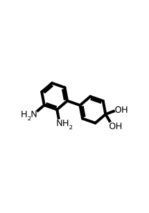 Nc1cccc(C2=CCC(O)(O)C=C2)c1N